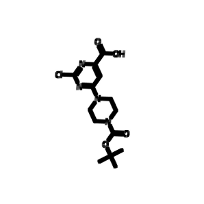 CC(C)(C)OC(=O)N1CCN(c2cc(C(=O)O)nc(Cl)n2)CC1